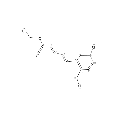 CCOC(=O)C=CC=Cc1cc(Cl)ccc1CCl